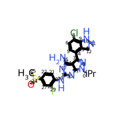 CC(C)n1nc(-c2ccc(Cl)c3[nH]ncc23)c2c(N)nc(Nc3ccc([S+](C)[O-])cc3F)nc21